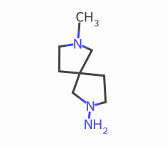 CN1CCC2(CCN(N)C2)C1